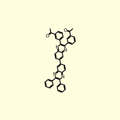 CC(=O)c1cccc(-c2nc3ccc(-c4ccc5nc(-c6ccccc6)c(-c6ccccc6)nc5c4)cc3nc2-c2cccc(C(C)=O)c2)c1